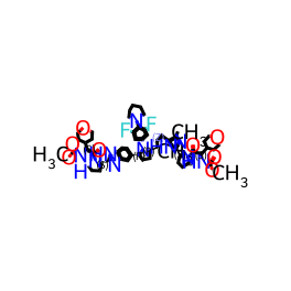 C=C(/C=C\c1[nH]c([C@@H]2CCCN2C(=O)[C@@H](NC(=O)OC)C2CCOCC2)nc1C)[C@H]1CC[C@H](c2ccc3[nH]c([C@@H]4CCCN4C(=O)[C@@H](NC(=O)OC)C4CCOCC4)nc3c2)N1c1cc(F)c(N2CCCCC2)c(F)c1